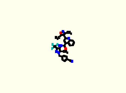 Cc1noc(C)c1-c1cc(C(=O)Nc2c(C(F)(F)F)nn(Cc3ccc(C#N)cc3)c2C)c2ccccc2n1